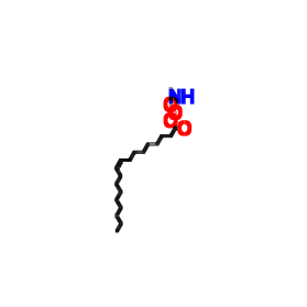 CCCCCCCC/C=C\CCCCCCCC(=O)OOONC